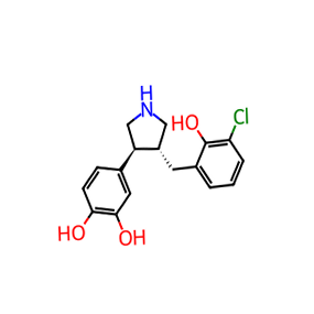 Oc1ccc([C@H]2CNC[C@@H]2Cc2cccc(Cl)c2O)cc1O